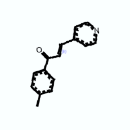 Cc1ccc(C(=O)/C=C/c2ccncc2)cc1